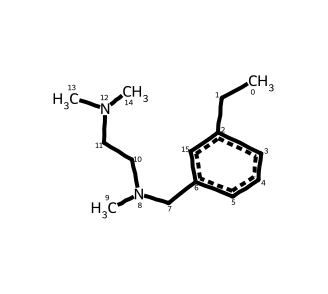 CCc1cccc(CN(C)CCN(C)C)c1